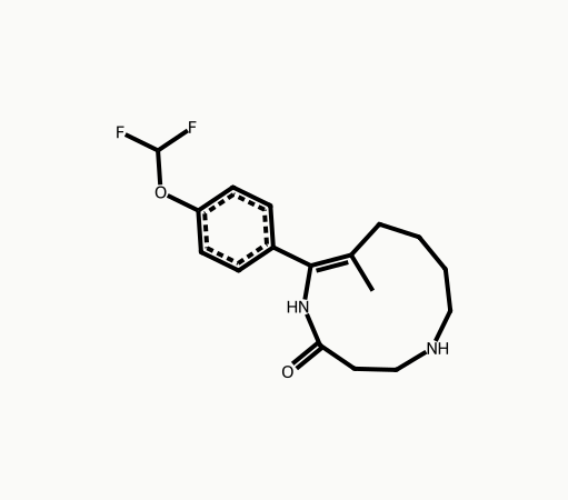 C/C1=C(/c2ccc(OC(F)F)cc2)NC(=O)CCNCCCC1